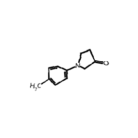 Cc1ccc(N2CCC(=O)C2)cc1